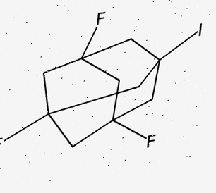 FC12CC3(F)CC(F)(C1)CC(I)(C2)C3